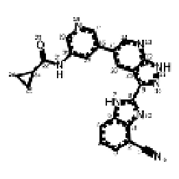 N#Cc1cccc2[nH]c(-c3n[nH]c4ncc(-c5cncc(NC(=O)C6CC6)c5)cc34)nc12